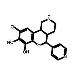 Oc1c(Cl)cc2c(c1O)OC(c1ccncc1)C1CCNCC21